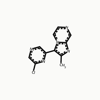 Cc1nc2cnccn2c1-c1cncc(Cl)n1